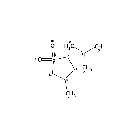 CC(C)C.CC1CCS(=O)(=O)C1